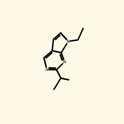 CCn1ccc2cnc(C(C)C)nc21